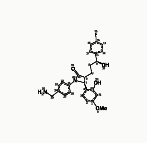 COc1ccc([C@@H]2C(CC[C@H](O)c3ccc(F)cc3)C(=O)N2c2ccc(CN)cc2)c(O)c1